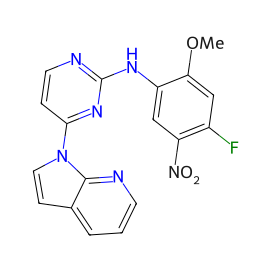 COc1cc(F)c([N+](=O)[O-])cc1Nc1nccc(-n2ccc3cccnc32)n1